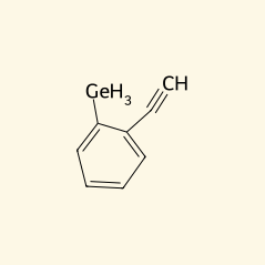 C#Cc1cccc[c]1[GeH3]